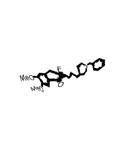 COc1cc2c(cc1OC)C(=O)C(F)(CCCC1CCN(Cc3ccccc3)CC1)C2